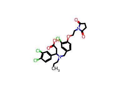 CCCN(Cc1ccc(OCCN2C(=O)CCC2=O)c(Cl)c1)C(CC(=O)O)c1ccc(Cl)c(Cl)c1